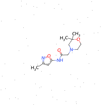 Cc1cc(NC(=O)CN2CCOC(C)(C)C2)on1